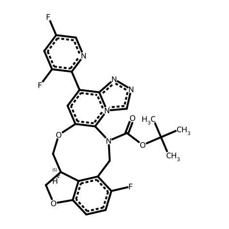 CC(C)(C)OC(=O)N1Cc2c(F)ccc3c2[C@@H](CO3)COc2cc(-c3ncc(F)cc3F)c3nncn3c21